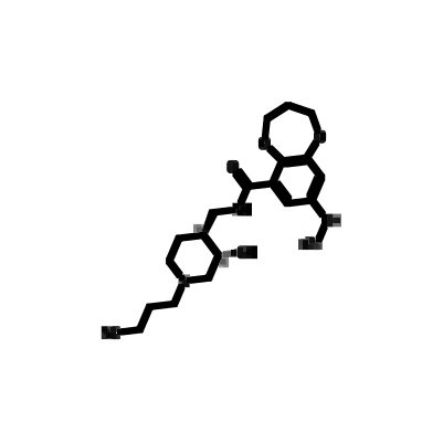 CCCCNc1cc2c(c(C(=O)NC[C@@H]3CCN(CCCC#N)C[C@H]3O)c1)OCCCO2